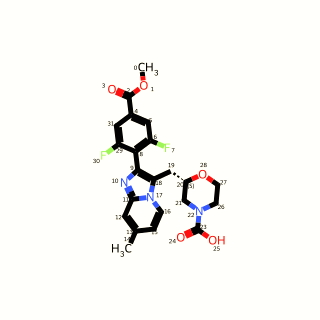 COC(=O)c1cc(F)c(-c2nc3cc(C)ccn3c2C[C@H]2CN(C(=O)O)CCO2)c(F)c1